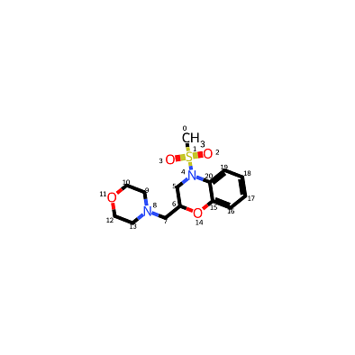 CS(=O)(=O)N1CC(CN2CCOCC2)Oc2ccccc21